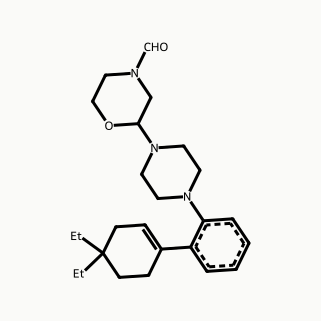 CCC1(CC)CC=C(c2ccccc2N2CCN(C3CN(C=O)CCO3)CC2)CC1